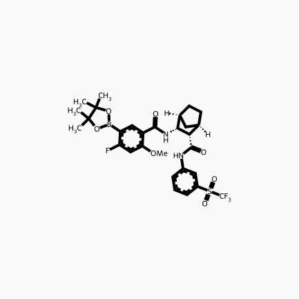 COc1cc(F)c(B2OC(C)(C)C(C)(C)O2)cc1C(=O)N[C@@H]1[C@H]2CC[C@H](C2)[C@@H]1C(=O)Nc1cccc(S(=O)(=O)C(F)(F)F)c1